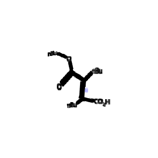 CCCCOC(=O)/C(CCCC)=C(\CCCC)C(=O)O